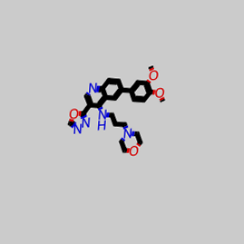 COc1ccc(-c2ccc3ncc(-c4nnco4)c(NCCCN4CCOCC4)c3c2)cc1OC